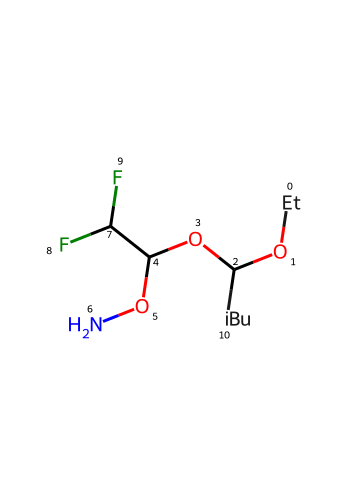 CCOC(OC(ON)C(F)F)C(C)CC